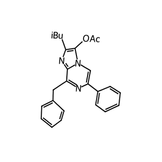 CCC(C)c1nc2c(Cc3ccccc3)nc(-c3ccccc3)cn2c1OC(C)=O